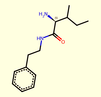 CCC(C)[C@H](N)C(=O)NCCc1ccccc1